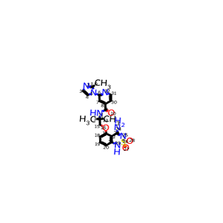 Cc1nccn1-c1cc(C(=O)NC(C)(C)COc2cccc3c2C(N)=NS(=O)(=O)N3)ccn1